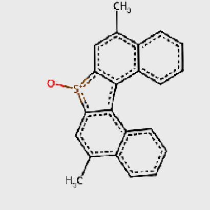 Cc1cc2c(c3ccccc13)c1c3ccccc3c(C)cc1[s+]2[O-]